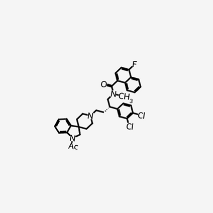 CC(=O)N1CC2(CCN(CC[C@H](CN(C)C(=O)c3ccc(F)c4ccccc34)c3ccc(Cl)c(Cl)c3)CC2)c2ccccc21